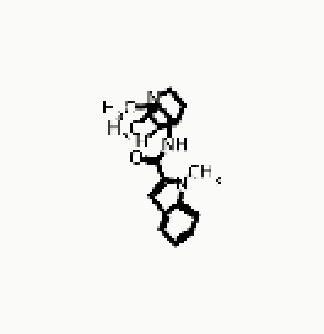 Cn1c(C(=O)N[C@H]2C3CCN(CC3)C2(C)C)cc2ccccc21